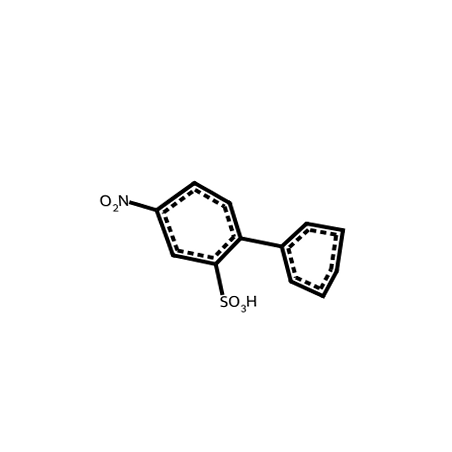 O=[N+]([O-])c1ccc(-c2ccccc2)c(S(=O)(=O)O)c1